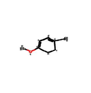 CCOC1=CC=C(CC)CC1